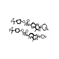 Cc1nc(N2CCCN(C)CC2)nc2ccc(NC(=O)COc3ccc(C(F)(F)F)cc3)nc12.Cc1nc(N2CCN(C)CC2)nc2ccc(NC(=O)COc3ccc(C(F)(F)F)cc3)nc12